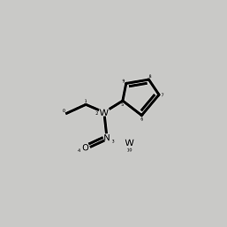 C[CH2][W]([N]=O)[CH]1C=CC=C1.[W]